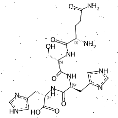 NC(=O)CC[C@H](N)C(=O)N[C@@H](CO)C(=O)N[C@@H](Cc1c[nH]cn1)C(=O)N[C@@H](Cc1c[nH]cn1)C(=O)O